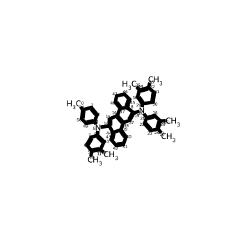 Cc1ccc(N(c2ccc(C)c(C)c2)c2cc3c4c(c(N(c5ccc(C)c(C)c5)c5ccc(C)c(C)c5)cc3c3ccccc23)=CCCC=4)cc1